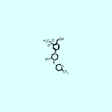 CC(C)[C@H]1CN(c2ccc(CO)c(S(C)(=O)=O)c2)CCN1C[C@H]1CCC(C(F)(F)F)OC1